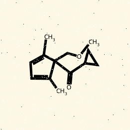 COCC1(C(=O)C2CC2)C(C)=CC=C1C